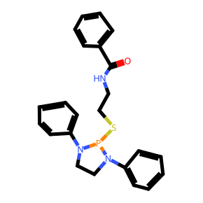 O=C(NCCSP1N(c2ccccc2)CCN1c1ccccc1)c1ccccc1